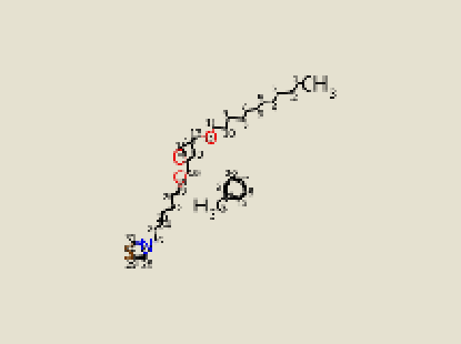 CCCCCCCCCCCCOCC1COC(COCCCCCCC[n+]2ccsc2)C1.Cc1ccccc1